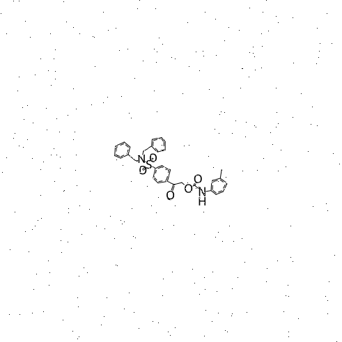 Cc1cccc(NC(=O)OCC(=O)c2ccc(S(=O)(=O)N(Cc3ccccc3)Cc3ccccc3)cc2)c1